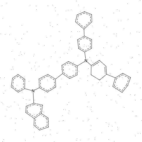 C1=C(c2ccccc2)CCC(N(c2ccc(-c3ccccc3)cc2)c2ccc(-c3ccc(N(c4ccccc4)c4ccc5ccccc5c4)cc3)cc2)=C1